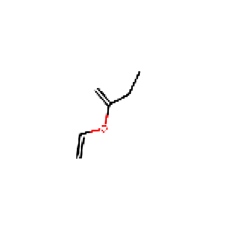 C=COC(=C)CC